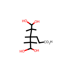 CC(C)(C(O)O)C(C)(CCC(=O)O)C(C)(C)C(O)O